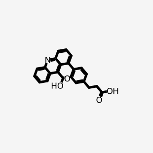 O=C(O)CCc1ccc(-c2cccc3nc4ccccc4c(C(=O)O)c23)cc1